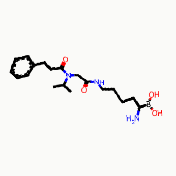 CC(C)N(CC(=O)NCCCCC(N)B(O)O)C(=O)CCc1ccccc1